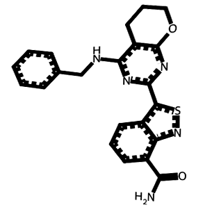 NC(=O)c1cccc2c(-c3nc(NCc4ccccc4)c4c(n3)OCCC4)snc12